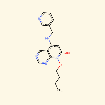 CCCCOn1c(=O)cc(NCc2cccnc2)c2cncnc21